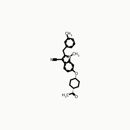 Cc1cccc(Cc2c(C#N)c3ccc(O[C@H]4CC[C@@H](C(C)=O)CC4)cc3n2C)c1